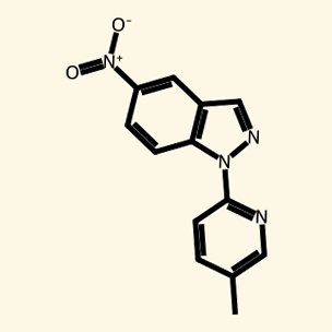 Cc1ccc(-n2ncc3cc([N+](=O)[O-])ccc32)nc1